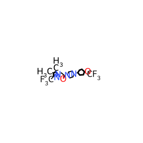 Cc1c(C(F)(F)F)nn(CC(=O)N2CCN(c3ccc(OC(F)(F)F)cc3)CC2)c1C